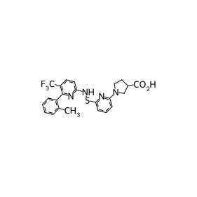 Cc1ccccc1-c1nc(NSc2cccc(N3CCC(C(=O)O)C3)n2)ccc1C(F)(F)F